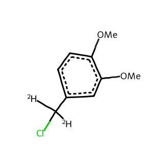 [2H]C([2H])(Cl)c1ccc(OC)c(OC)c1